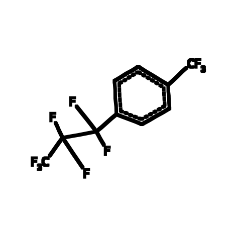 FC(F)(F)c1ccc(C(F)(F)C(F)(F)C(F)(F)F)cc1